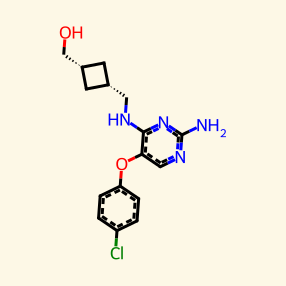 Nc1ncc(Oc2ccc(Cl)cc2)c(NC[C@H]2C[C@@H](CO)C2)n1